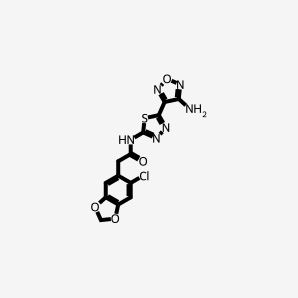 Nc1nonc1-c1nnc(NC(=O)Cc2cc3c(cc2Cl)OCO3)s1